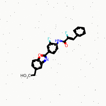 O=C(O)Cc1ccc2oc(-c3ccc(NC(=O)C(F)=Cc4ccccc4)c(F)c3)nc2c1